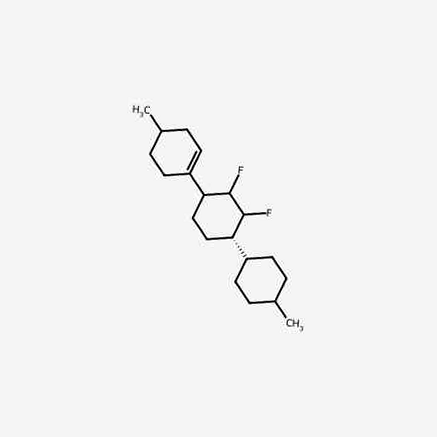 CC1CC=C(C2CC[C@@H](C3CCC(C)CC3)C(F)C2F)CC1